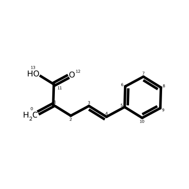 C=C(C/C=C/c1ccccc1)C(=O)O